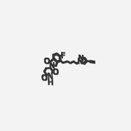 C#Cc1cnn(CCCCCc2c(F)ccc3c2CN(C2CCC(=O)NC2=O)C3=O)c1